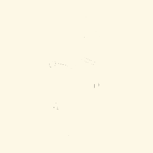 Cl.O=C(CCN1CCOCC1)c1cccc(Cl)c1